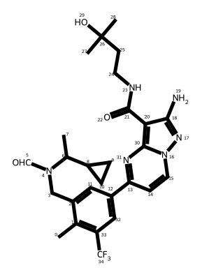 Cc1c(CN(C=O)C(C)C2CC2)cc(-c2ccn3nc(N)c(C(=O)NCCC(C)(C)O)c3n2)cc1C(F)(F)F